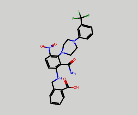 NC(=O)c1c(NCc2ccccc2C(=O)O)ccc([N+](=O)[O-])c1N1CCN(c2cccc(C(F)(F)F)c2)CC1